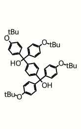 CC(C)(C)Oc1ccc(C(O)(c2ccc(OC(C)(C)C)cc2)c2ccc(C(O)(c3ccc(OC(C)(C)C)cc3)c3ccc(OC(C)(C)C)cc3)cc2)cc1